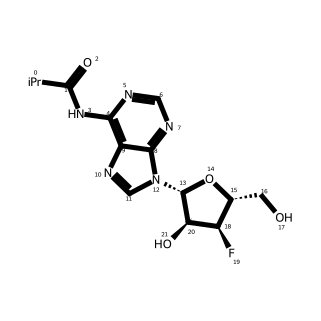 CC(C)C(=O)Nc1ncnc2c1ncn2[C@@H]1O[C@H](CO)[C@@H](F)[C@H]1O